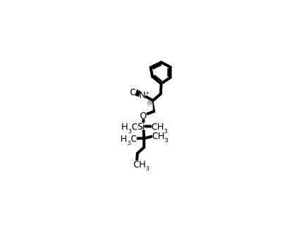 [C-]#[N+][C@H](CO[Si](C)(C)C(C)(C)CCC)Cc1ccccc1